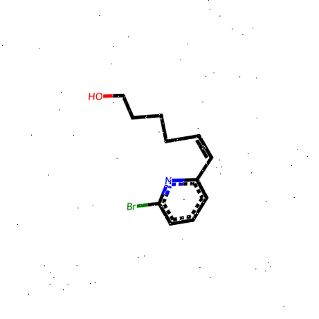 OCCCC/C=C\c1cccc(Br)n1